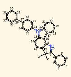 CC1(C)C(c2ccccc2)=Nc2c1ccc1c2c2ccccc2n1-c1ccc(-c2ccccc2)cc1